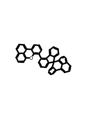 c1ccc2c(c1)-c1c(-c3cccc4c3Oc3cccc5cccc-4c35)cccc1C21c2ccccc2-c2cccc3cccc1c23